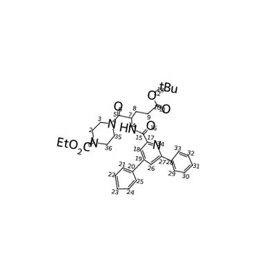 CCOC(=O)N1CCN(C(=O)C(CCC(=O)OC(C)(C)C)NC(=O)c2cc(-c3ccccc3)cc(-c3ccccc3)n2)CC1